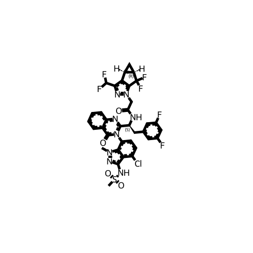 Cn1nc(NS(C)(=O)=O)c2c(Cl)ccc(-n3c([C@H](Cc4cc(F)cc(F)c4)NC(=O)Cn4nc(C(F)F)c5c4C(F)(F)[C@@H]4C[C@H]54)nc4ccccc4c3=O)c21